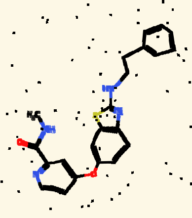 CNC(=O)c1cc(Oc2ccc3nc(NCCc4ccccc4)sc3c2)ccn1